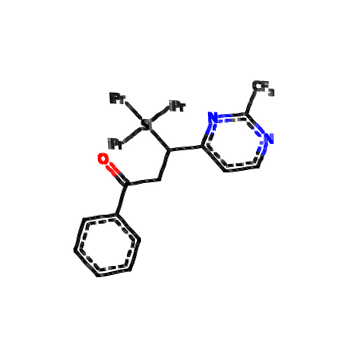 CC(C)[Si](C(C)C)(C(C)C)C(CC(=O)c1ccccc1)c1ccnc(C(F)(F)F)n1